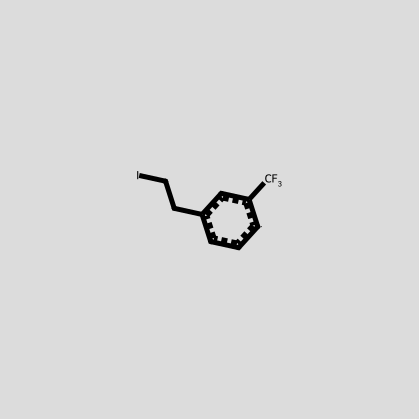 FC(F)(F)c1[c]ccc(CCI)c1